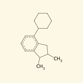 CC1Cc2c(C3CCCCC3)cccc2C1C